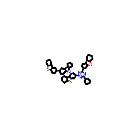 c1ccc(-c2nc(-c3ccc4c(c3)oc3ccccc34)nc(-c3cc(-n4c5ccccc5c5cc(-c6ccc7sc8ccccc8c7c6)ccc54)c4c(c3)sc3ccccc34)n2)cc1